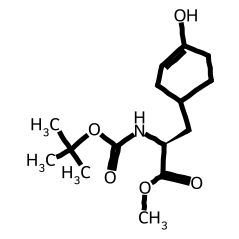 COC(=O)[C@H](CC1CC=C(O)CC1)NC(=O)OC(C)(C)C